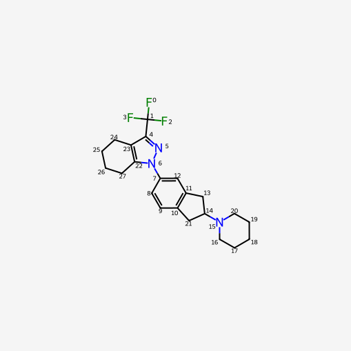 FC(F)(F)c1nn(-c2ccc3c(c2)CC(N2CCCCC2)C3)c2c1CCCC2